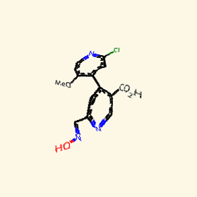 COc1cnc(Cl)cc1-c1cc(/C=N/O)ncc1C(=O)O